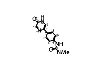 CNC(=O)Nc1ccc(-c2c[nH]c(=O)cn2)cc1